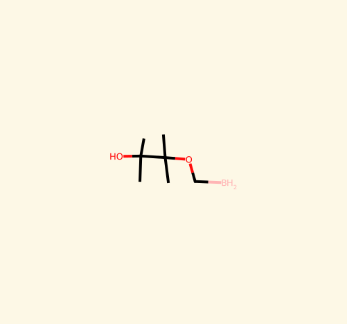 BCOC(C)(C)C(C)(C)O